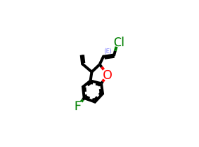 C=CC1c2cc(F)ccc2OC1/C=C/Cl